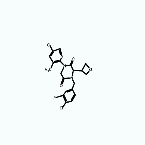 Cc1cc(Cl)cnc1N1CC(=O)N(Cc2ccc(Cl)c(F)c2)[C@H](C2COC2)C1=O